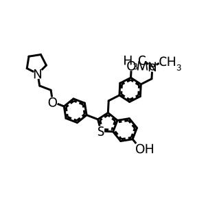 COc1cc(Cc2c(-c3ccc(OCCN4CCCC4)cc3)sc3cc(O)ccc23)ccc1CN(C)C